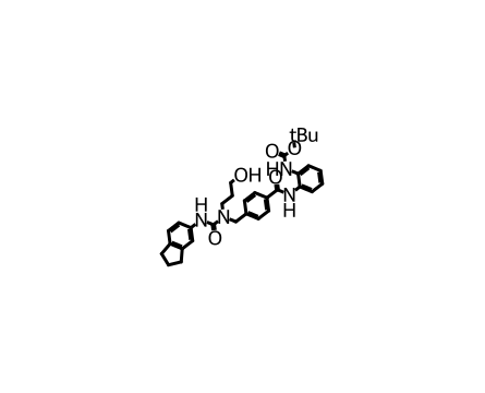 CC(C)(C)OC(=O)Nc1ccccc1NC(=O)c1ccc(CN(CCCO)C(=O)Nc2ccc3c(c2)CCC3)cc1